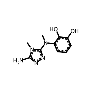 CN(c1cccc(O)c1O)c1nnc(N)n1C